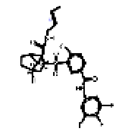 C/C=C/CNC(=O)C[C@@]1(O)C2CC[C@H]1C[C@H](S(=O)(=O)c1cc(C(=O)Nc3cc(F)c(F)c(F)c3)ccc1Cl)C2